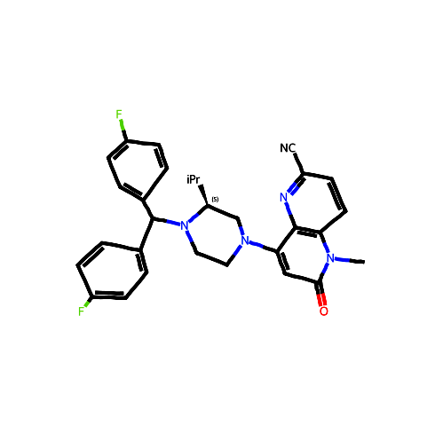 CC(C)[C@H]1CN(c2cc(=O)n(C)c3ccc(C#N)nc23)CCN1C(c1ccc(F)cc1)c1ccc(F)cc1